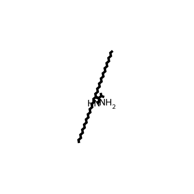 CCCCCCCCCCCCCCCCCCC(CCCCCCCCCCCCCCCCCC)=C(C(=N)N)C(C)C